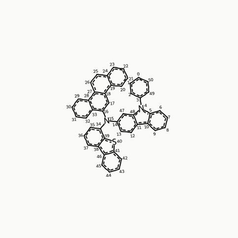 c1ccc(-n2c3ccccc3c3ccc(N(c4cc5c6ccccc6ccc5c5ccccc45)c4cccc5c4sc4ccccc45)cc32)cc1